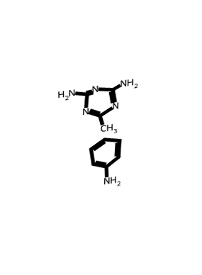 Cc1nc(N)nc(N)n1.Nc1ccccc1